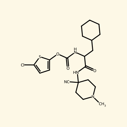 CN1CCC(C#N)(NC(=O)C(CC2CCCCC2)NC(=O)Oc2ccc(Cl)s2)CC1